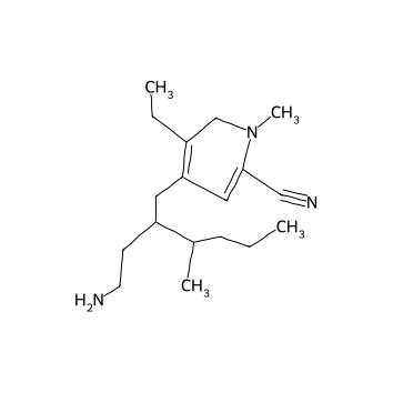 CCCC(C)C(CCN)CC1=C(CC)CN(C)C(C#N)=C1